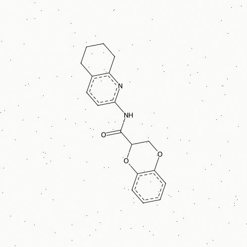 O=C(Nc1ccc2c(n1)CCCC2)C1COc2ccccc2O1